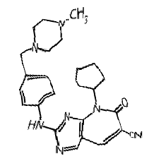 CN1CCN(Cc2ccc(Nc3ncc4cc(C#N)c(=O)n(C5CCCC5)c4n3)cc2)CC1